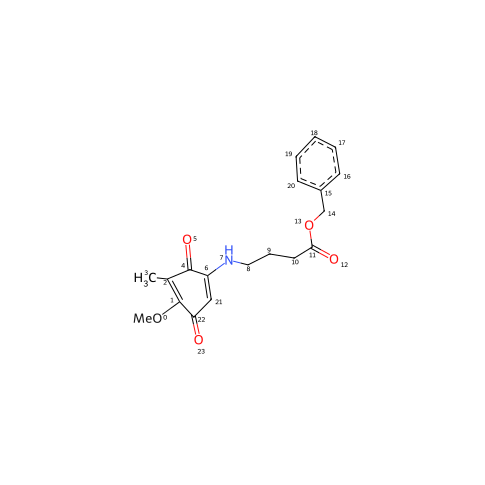 COC1=C(C)C(=O)C(NCCCC(=O)OCc2ccccc2)=CC1=O